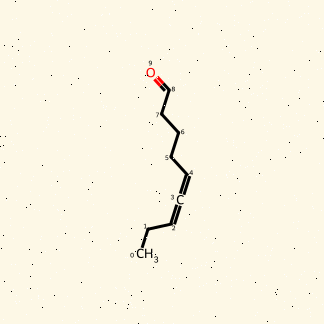 CCC=C=CCCCC=O